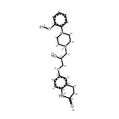 CCOc1ccccc1N1CCN(CC(O)COc2ccc3c(c2)CCC(=O)N3)CC1